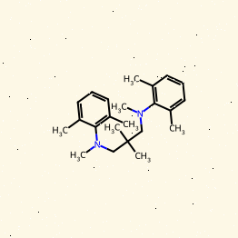 Cc1cccc(C)c1N(C)CC(C)(C)CN(C)c1c(C)cccc1C